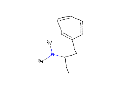 [2H]N([2H])C(C)Cc1ccccc1